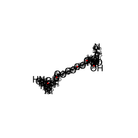 Cc1ncsc1-c1ccc(CNC(=O)[C@@H]2C[C@@H](O)CN2C(=O)[C@@H](NC(=O)CCOCCOCCOCCOCCOCCC(=O)N2CC=C(c3cc(NC(=O)c4c[nH]c(=O)cc4C(F)(F)F)c(N4C[C@@H](C)N(C)[C@@H](C)C4)cc3F)CC2)C(C)(C)C)cc1